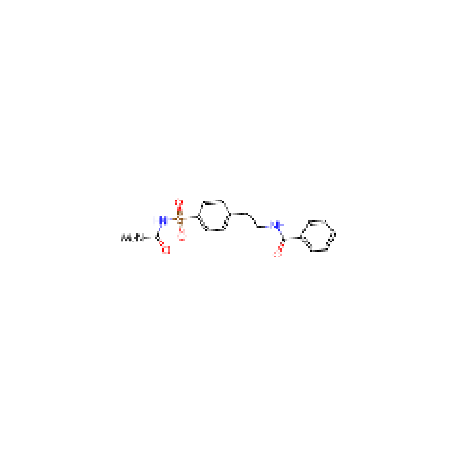 CNC(=O)NS(=O)(=O)c1ccc(CCNC(=O)c2ccccc2)cc1